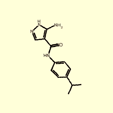 CC(C)c1ccc(NC(=O)c2cn[nH]c2N)cc1